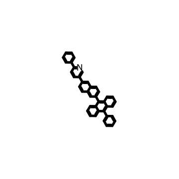 c1ccc(-c2ccc(-c3ccc4cc(-c5c6ccccc6c(-c6ccccc6)c6ccccc56)ccc4c3)cn2)cc1